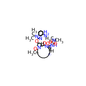 CC(C)n1c(O[C@@H]2C[C@H]3C(=O)N[C@]4(C(=O)NS(=O)(=O)N(C)C)C[C@H]4/C=C\CCCCC[C@H](C)C(=O)N3C2)nc2c(N)cccc21